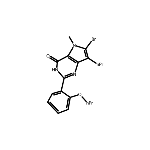 CCCOc1ccccc1-c1nc2c(CCC)c(Br)n(C)c2c(=O)[nH]1